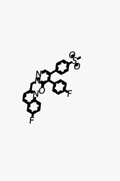 CS(=O)(=O)c1ccc(-c2cnn(Cc3ccc4cc(F)ccc4n3)c(=O)c2-c2ccc(F)cc2)cc1